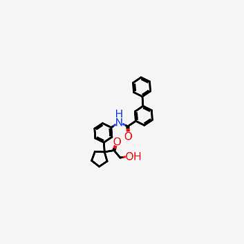 O=C(Nc1cccc(C2(C(=O)CO)CCCC2)c1)c1cccc(-c2ccccc2)c1